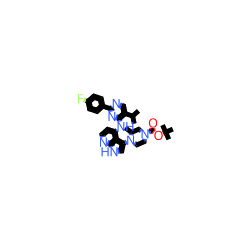 CC(C)c1cnc(-c2ccc(F)cc2)nc1Nc1ccnc2[nH]cc(N3CCN(C(=O)OC(C)(C)C)CC3C)c12